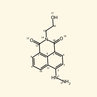 NNc1ccc2c3c(cccc13)C(=O)N(CCO)C2=O